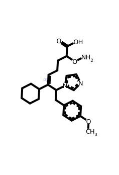 COc1ccc(CC(/C(=C\CCC(ON)C(=O)O)C2CCCCC2)n2ccnc2)cc1